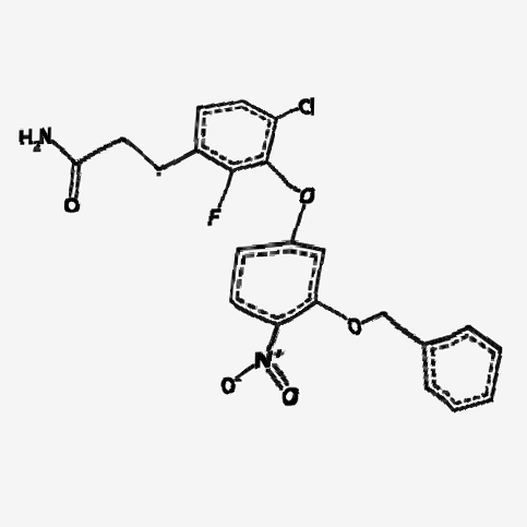 NC(=O)C[CH]c1ccc(Cl)c(Oc2ccc([N+](=O)[O-])c(OCc3ccccc3)c2)c1F